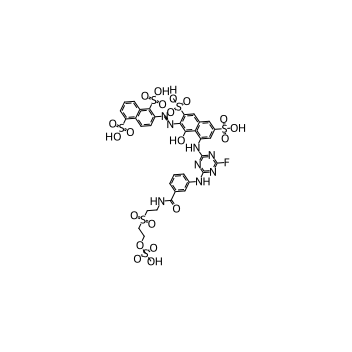 O=C(NCCS(=O)(=O)CCOS(=O)(=O)O)c1cccc(Nc2nc(F)nc(Nc3cc(S(=O)(=O)O)cc4cc(S(=O)(=O)O)c(N=Nc5ccc6c(S(=O)(=O)O)cccc6c5S(=O)(=O)O)c(O)c34)n2)c1